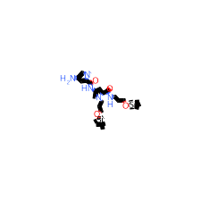 Cn1cc(N)cc1C(=O)Nc1cc(C(=O)NCCCO[Si](C)(C)C(C)(C)C)n(CCCO[Si](C)(C)C(C)(C)C)c1